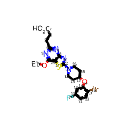 CCOc1nc(CCC(=O)O)nc2nc(N3CCC(Oc4cc(F)ccc4Br)CC3)sc12